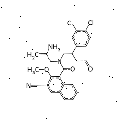 C=C(N)CN(CC(CC=O)c1ccc(Cl)c(Cl)c1)C(=O)c1c(OC)c(C#N)cc2ccccc12